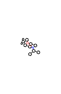 c1ccc(-c2cc(-c3ccccc3)cc(N(c3ccc(-c4cccc5c4Oc4ccccc4C54c5ccccc5-c5ccccc54)cc3)c3ccccc3-c3ccccc3)c2)cc1